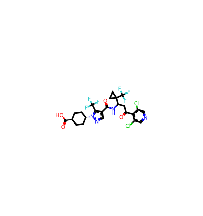 O=C(NC(CC(=O)c1c(Cl)cncc1Cl)C1(C(F)(F)F)CC1)c1cnn([C@H]2CC[C@H](C(=O)O)CC2)c1C(F)(F)F